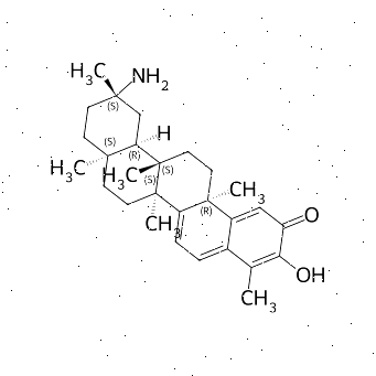 CC1=C(O)C(=O)C=C2C1=CC=C1[C@@]2(C)CC[C@@]2(C)[C@@H]3C[C@@](C)(N)CC[C@]3(C)CC[C@]12C